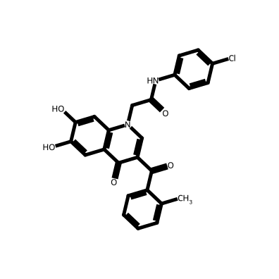 Cc1ccccc1C(=O)c1cn(CC(=O)Nc2ccc(Cl)cc2)c2cc(O)c(O)cc2c1=O